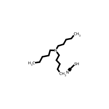 CCCCCN(CCCCC)CCCCC.N#CS